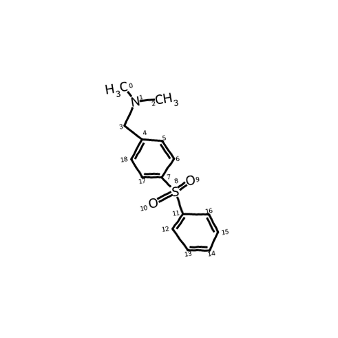 CN(C)Cc1ccc(S(=O)(=O)c2ccccc2)cc1